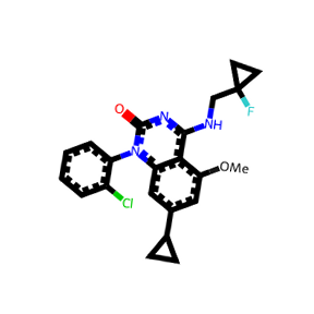 COc1cc(C2CC2)cc2c1c(NCC1(F)CC1)nc(=O)n2-c1ccccc1Cl